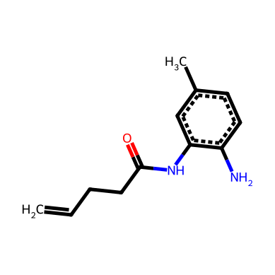 C=CCCC(=O)Nc1cc(C)ccc1N